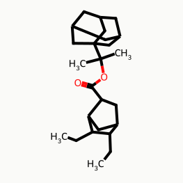 CCC1C2CC(C(=O)OC(C)(C)C34CC5CC(CC(C5)C3)C4)C(C2)C1CC